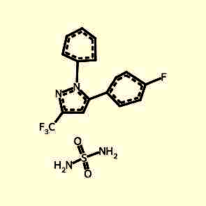 Fc1ccc(-c2cc(C(F)(F)F)nn2-c2ccccc2)cc1.NS(N)(=O)=O